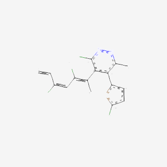 C=C/C(F)=C\C(F)=C(/C)c1c(Cl)nnc(C)c1-c1ccc(Cl)s1